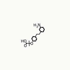 CC(C)(Oc1ccc(CCc2cccc(N)c2)cc1)C(=O)O